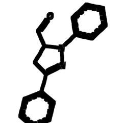 O=CC1CC(c2ccccc2)=NN1c1ccccc1